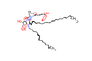 CCCCCCCCCCCCCCCCCC(=O)N(CCCCCCCCCCCCCC)[C@@H]1O[C@H](CO)[C@@H](O)[C@H](O)[C@H]1NC(=O)[C@H](C)NC(=O)CCC(=O)O